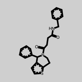 O=C(CCC(=O)N1CCc2sccc2C1c1ccccc1)NCc1ccccc1